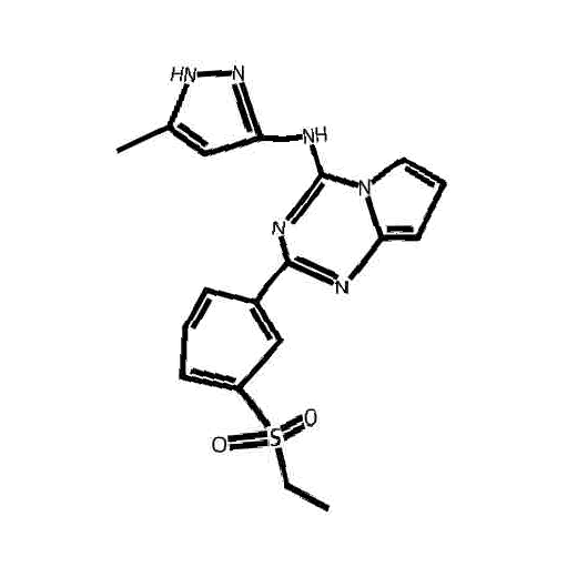 CCS(=O)(=O)c1cccc(-c2nc(Nc3cc(C)[nH]n3)n3cccc3n2)c1